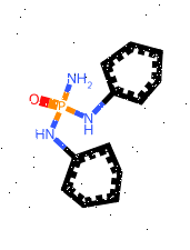 NP(=O)(Nc1ccccc1)Nc1ccccc1